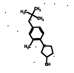 Cc1cc(CC(C)(C)C)ccc1N1CCC(O)C1